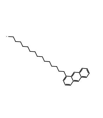 [CH2]CCCCCCCCCCCCCCCc1cccc2cc3ccccc3cc12